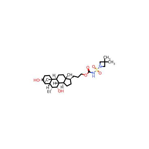 CC[C@H]1[C@@H](O)[C@@H]2[C@H](CC[C@]3(C)[C@@H](CCCOC(=O)NS(=O)(=O)N4CC(C)(C)C4)CC[C@@H]23)[C@@]2(C)CC[C@@H](O)C[C@@H]12